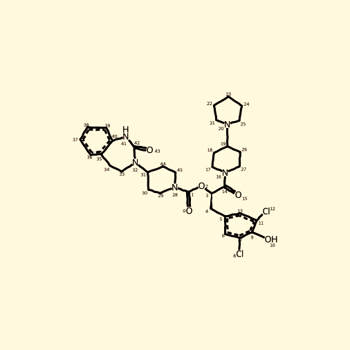 O=C(O[C@H](Cc1cc(Cl)c(O)c(Cl)c1)C(=O)N1CCC(N2CCCCC2)CC1)N1CCC(N2CCc3ccccc3NC2=O)CC1